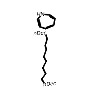 C1=CC=CNC=C1.CCCCCCCCCCCCCCCCCCCCCCCCCCCC